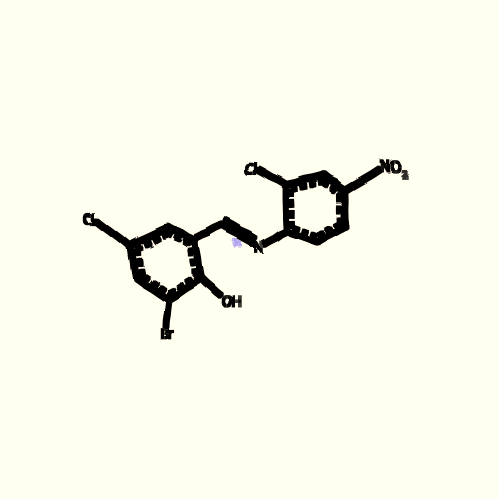 O=[N+]([O-])c1ccc(/N=C/c2cc(Cl)cc(Br)c2O)c(Cl)c1